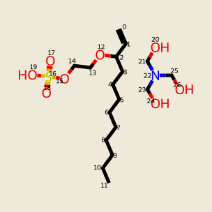 C=CC(CCCCCCCCC)OCCOS(=O)(=O)O.OCN(CO)CO